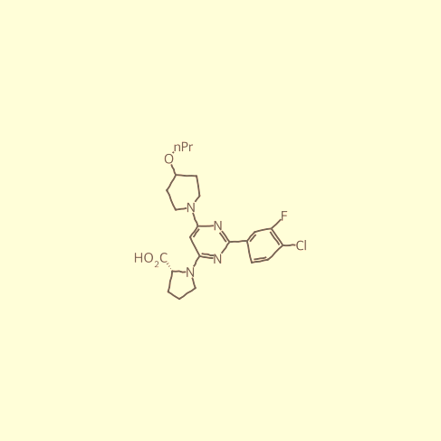 CCCOC1CCN(c2cc(N3CCC[C@@H]3C(=O)O)nc(-c3ccc(Cl)c(F)c3)n2)CC1